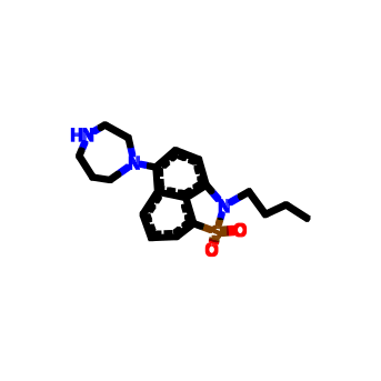 CCCCN1c2ccc(N3CCCNCC3)c3cccc(c23)S1(=O)=O